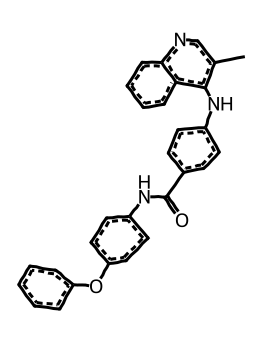 Cc1cnc2ccccc2c1Nc1ccc(C(=O)Nc2ccc(Oc3ccccc3)cc2)cc1